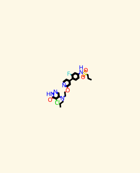 CCCN(CCOc1cc(-c2ccc(NS(=O)(=O)CCC)cc2F)ccn1)c1cn[nH]c(=O)c1Cl